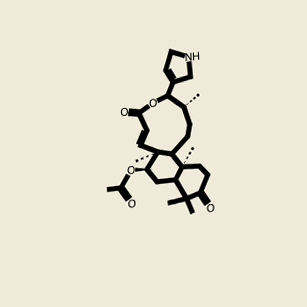 CC(=O)O[C@@H]1CC2C(C)(C)C(=O)CC[C@]2(C)C2CC[C@@H](C)C(C3=CCNC3)OC(=O)/C=C/[C@@]21C